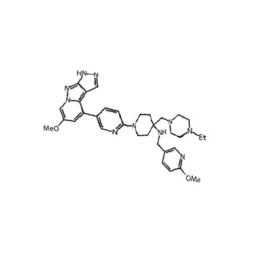 CCN1CCN(CC2(NCc3ccc(OC)nc3)CCN(c3ccc(-c4cc(OC)cn5nc6[nH]ncc6c45)cn3)CC2)CC1